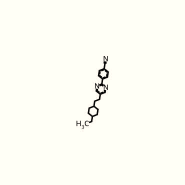 CCC1CCC(CCc2cnc(-c3ccc(C#N)cc3)nc2)CC1